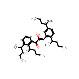 CCCC(C)c1ccc(C(C)CCC)c(C=C(O)C(=O)c2cccc(C(C)CCC)c2C(C)CCC)c1